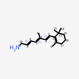 CC1=C(/C=C/C(C)=C/C=C/CN)C(C)(C)CCC1